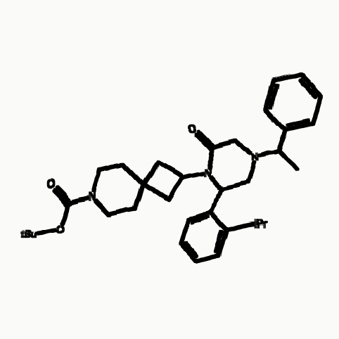 CC(C)c1ccccc1C1CN(C(C)c2ccccc2)CC(=O)N1C1CC2(CCN(C(=O)OC(C)(C)C)CC2)C1